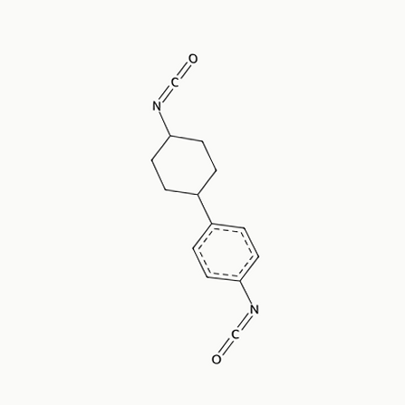 O=C=Nc1ccc(C2CCC(N=C=O)CC2)cc1